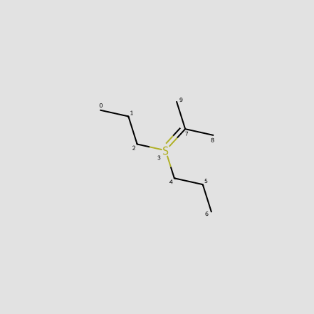 CCCS(CCC)=C(C)C